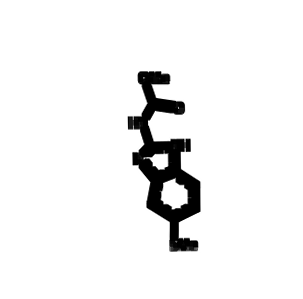 COC(=O)Nc1nc2cc(SC)ccc2[nH]1